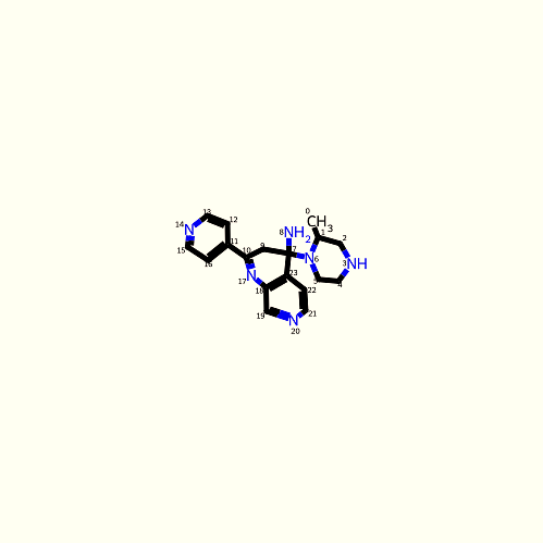 CC1CNCCN1C1(N)CC(c2ccncc2)=Nc2cnccc21